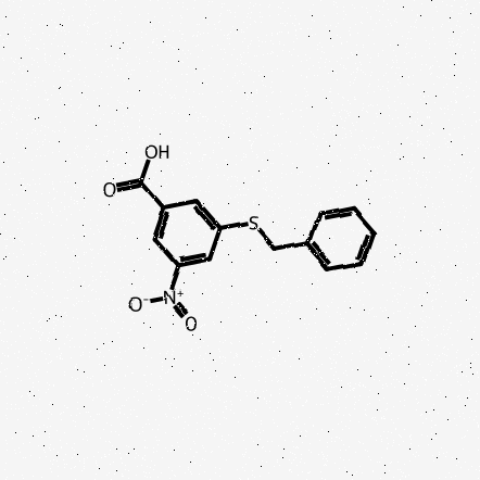 O=C(O)c1cc(SCc2ccccc2)cc([N+](=O)[O-])c1